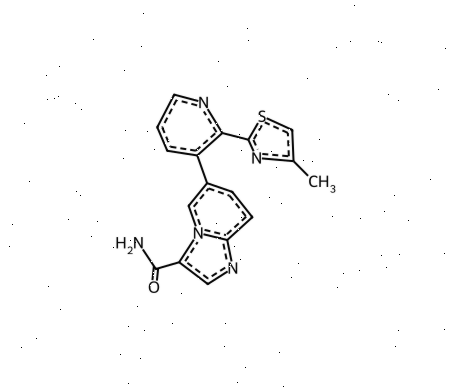 Cc1csc(-c2ncccc2-c2ccc3ncc(C(N)=O)n3c2)n1